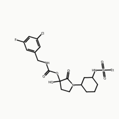 CCS(=O)(=O)NC1CCCC(N2CCC(O)(OC(=O)NCc3cc(F)cc(Cl)c3)C2=O)C1